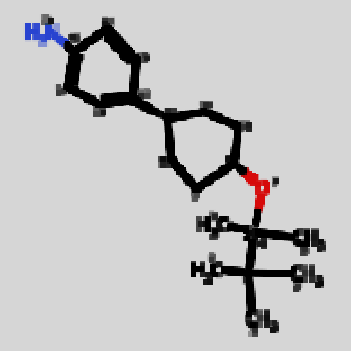 CC(C)(C)[Si](C)(C)O[C@H]1CC[C@@H](c2ccc(N)cc2)CC1